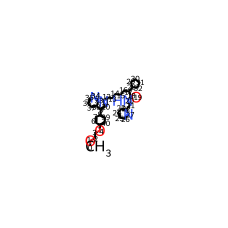 COCCOc1ccc(-c2cn(CCCCCC(C(=O)NCc3ccccn3)C3CCCC3)c3ncccc23)cc1